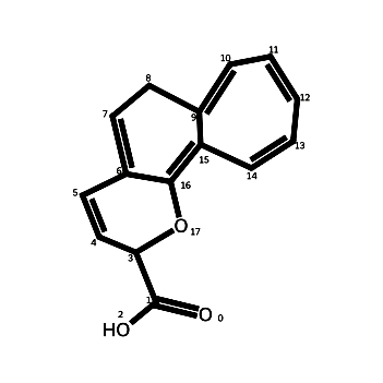 O=C(O)C1C=CC2=CCC3=CC=CC=CC3=C2O1